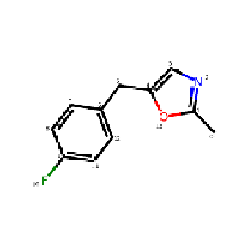 Cc1ncc(Cc2ccc(F)cc2)o1